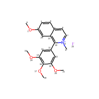 COc1ccc2cc[n+](C)c(-c3cc(OC)c(OC)c(OC)c3)c2c1.[I-]